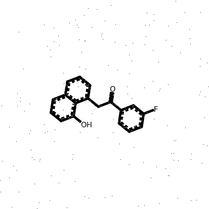 O=C(Cc1cccc2cccc(O)c12)c1cccc(F)c1